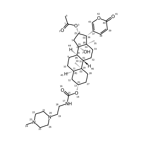 CC(=O)O[C@H]1C[C@]2(O)[C@@H]3CC[C@@H]4C[C@@H](OC(=O)NCCN5CCN(C)CC5)CC[C@]4(C)[C@H]3CC[C@]2(C)[C@H]1c1ccc(=O)oc1